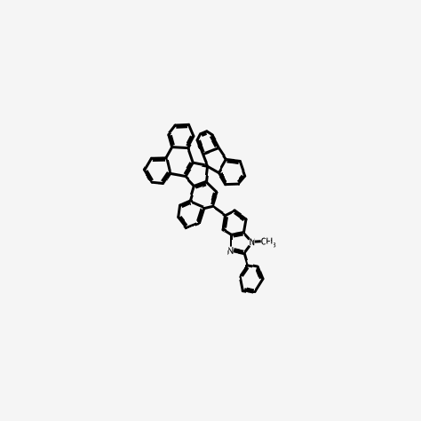 Cn1c(-c2ccccc2)nc2cc(-c3cc4c(c5ccccc35)-c3c(c5ccccc5c5ccccc35)C43c4ccccc4-c4ccccc43)ccc21